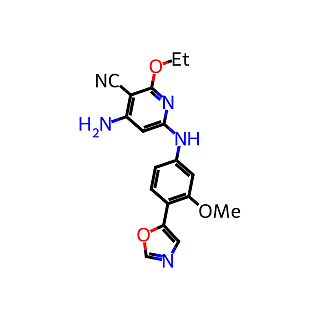 CCOc1nc(Nc2ccc(-c3cnco3)c(OC)c2)cc(N)c1C#N